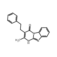 Cc1[nH]c2nc3ccccc3n2c(=O)c1CCc1ccccc1